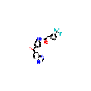 O=C(Cc1cccc(C(F)(F)F)c1)Nc1ccc(C(=O)c2ccc3nccnc3c2)cc1